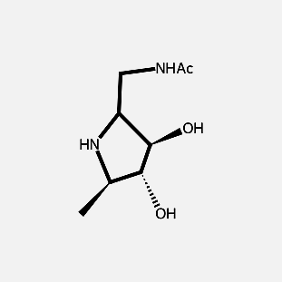 CC(=O)NCC1N[C@H](C)[C@@H](O)[C@@H]1O